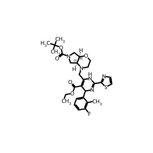 CCOC(=O)C1=C(CN2CCO[C@@H]3CN(C(=O)OC(C)(C)C)C[C@@H]32)NC(c2nccs2)=NC1c1cccc(F)c1C